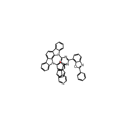 c1ccc(-c2nc(-c3cccc4nc(-c5ccccc5)oc34)nc(-n3c4ccccc4c4ccc5c6ccccc6n(-c6cccc(-c7ccncc7)c6)c5c43)n2)cc1